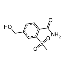 CS(=O)(=O)c1cc(CO)ccc1C(N)=O